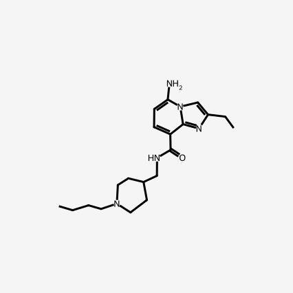 CCCCN1CCC(CNC(=O)c2ccc(N)n3cc(CC)nc23)CC1